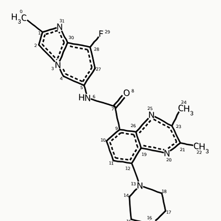 Cc1cn2cc(NC(=O)c3ccc(N4CCNCC4)c4nc(C)c(C)nc34)cc(F)c2n1